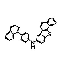 c1ccc2c(-c3ccc(Nc4ccc5sc6c7ccccc7ccc6c5c4)cc3)cccc2c1